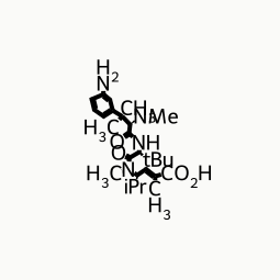 CN[C@H](C(=O)N[C@H](C(=O)N(C)[C@H](/C=C(\C)C(=O)O)C(C)C)C(C)(C)C)C(C)(C)c1cccc(N)c1